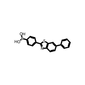 OB(O)c1ccc(-c2nc3ccc(-c4ccccc4)cc3s2)cc1